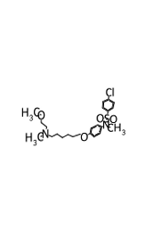 COCCN(C)CCCCCCOc1ccc(N(C)S(=O)(=O)c2ccc(Cl)cc2)cc1